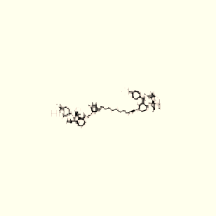 Cc1nnc2n1-c1ccc(C#CCCCCCCCCn3cc(CNc4cccc5c4C(=O)N(C4CCC(=O)NC4=O)C5=O)nn3)cc1C(c1ccc(Cl)cc1)=NC21CC1